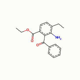 CCOC(=O)c1ccc(CC)c(N)c1C(=O)c1ccccc1